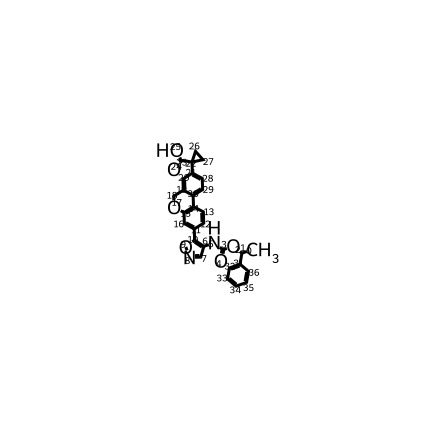 CC(OC(=O)Nc1cnoc1-c1ccc2c(c1)OCc1cc(C3(C(=O)O)CC3)ccc1-2)c1ccccc1